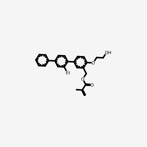 C=C(C)C(=O)OCc1cc(-c2ccc(-c3ccccc3)cc2CC)ccc1OCCO